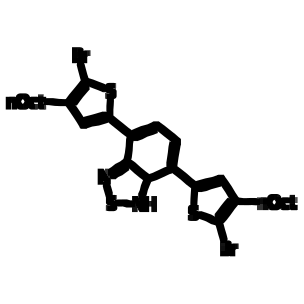 CCCCCCCCc1cc(C2=CC=C(c3cc(CCCCCCCC)c(Br)s3)C3NSN=C23)sc1Br